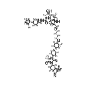 Cc1cc(-c2ccc(N3C(=S)N(c4ccc(C#N)c(C(F)(F)F)c4)C(=O)C3(C)C)cc2)ccc1OCCCCOCC(=O)N[C@H](C(=O)N1C[C@H](O)C[C@H]1C(=O)NCc1ccc(-c2scnc2C)cc1)C(C)(C)C